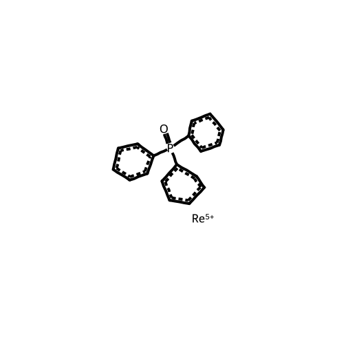 O=P(c1ccccc1)(c1ccccc1)c1ccccc1.[Re+5]